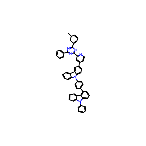 CC1C=CC=C(c2nc(-c3ccccc3)nc(-c3cc(-c4ccc5c(c4)c4ccccc4n5-c4ccc(-c5cccc6c5c5ccccc5n6-c5ccccc5)cc4)ccn3)n2)C1